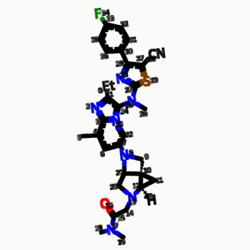 CCc1nc2c(C)cc(N3C[C@]45C[C@H]4N(CC(=O)N(C)C)CC35)cn2c1N(C)c1nc(-c2ccc(F)cc2)c(C#N)s1